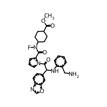 COC(=O)C1CCC(N(F)C(=O)c2cccn2C(=O)C(Nc2ccccc2CN)c2ccc3ncoc3c2)CC1